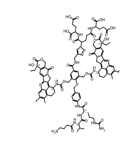 CC[C@@]1(O)C(=O)OCc2c1cc1n(c2=O)Cc2c-1nc1cc(F)c(C)c3c1c2[C@@H](NC(=O)OCc1cc(C(=O)NCc2cn(C(CCC(=O)NC(CCC(=O)O)C(=O)O)C(=O)NC(CCC(=O)O)C(=O)O)nn2)cc(COC(=O)N[C@H]2CCc4c(C)c(F)cc5nc6c(c2c45)Cn2c-6cc4c(c2=O)COC(=O)[C@]4(O)CC)c1OCc1ccc(NC(=O)[C@H](CCCNC(N)=O)NC(=O)[C@@H](NC(=O)CCCN)C(C)C)cc1)CC3